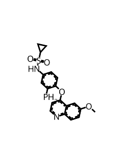 COc1ccc2nccc(Oc3ccc(NS(=O)(=O)C4CC4)cc3P)c2c1